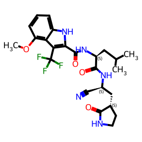 COc1cccc2[nH]c(C(=O)N[C@@H](CC(C)C)C(=O)N[C@H](C#N)C[C@@H]3CCNC3=O)c(C(F)(F)F)c12